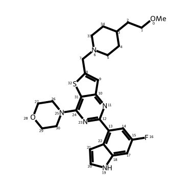 COCCC1CCN(Cc2cc3nc(-c4cc(F)cc5[nH]ccc45)nc(N4CCOCC4)c3s2)CC1